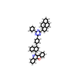 c1ccc(-c2nc(-c3ccc(-c4ccc(-c5nc6ccccc6c6oc7ccccc7c56)c5ccccc45)cc3)nc(-c3ccc4ccc5cccc6ccc3c4c56)n2)cc1